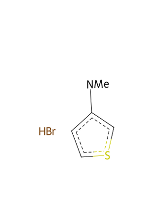 Br.CNc1ccsc1